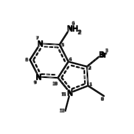 Cc1c(Br)c2c(N)ncnc2n1C